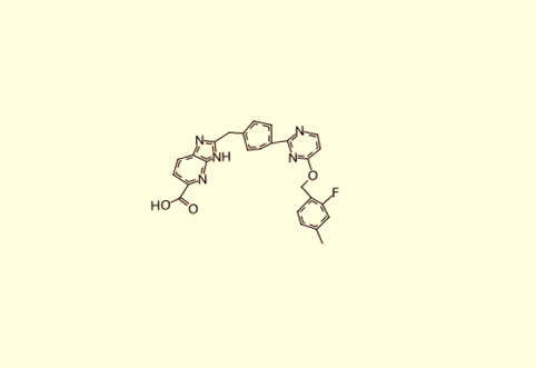 Cc1ccc(COc2ccnc(-c3ccc(Cc4nc5ccc(C(=O)O)nc5[nH]4)cc3)n2)c(F)c1